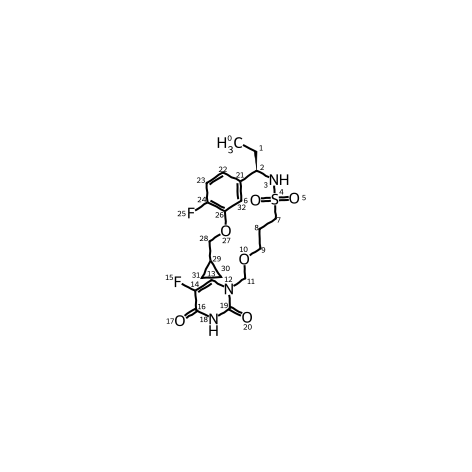 CC[C@@H](NS(=O)(=O)CCCOCn1cc(F)c(=O)[nH]c1=O)c1ccc(F)c(OCC2CC2)c1